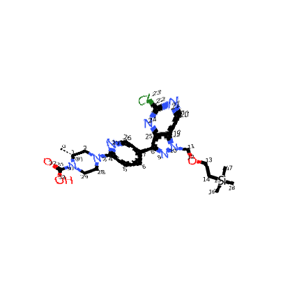 C[C@@H]1CN(c2ccc(-c3nn(COCC[Si](C)(C)C)c4cnc(Cl)nc34)cn2)CCN1C(=O)O